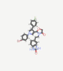 O=C1COC(c2cn(-c3ccc(Br)cc3)cc2-c2ccc(F)cc2)N1CCc1ccc2[nH]c(=O)[nH]c2c1